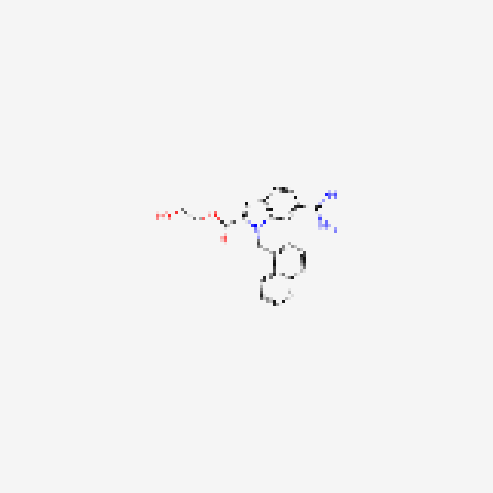 N=C(N)c1ccc2cc(C(=O)OCCO)n(Cc3cccc4ccccc34)c2c1